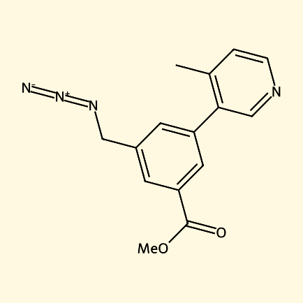 COC(=O)c1cc(CN=[N+]=[N-])cc(-c2cnccc2C)c1